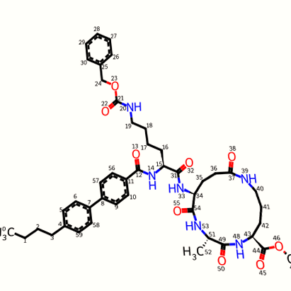 CCCCc1ccc(-c2ccc(C(=O)N[C@@H](CCCCNC(=O)OCc3ccccc3)C(=O)N[C@H]3CCC(=O)NCCC[C@@H](C(=O)OC)NC(=O)[C@H](C)NC3=O)cc2)cc1